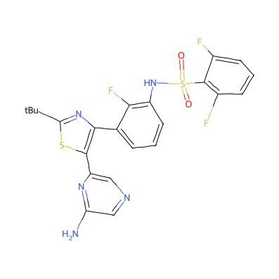 CC(C)(C)c1nc(-c2cccc(NS(=O)(=O)c3c(F)cccc3F)c2F)c(-c2cncc(N)n2)s1